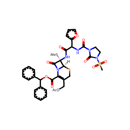 CS[C@@]1(NC(=O)C(NC(=O)N2CCN(S(C)(=O)=O)C2=O)c2ccco2)C(=O)N2C(C(=O)OC(c3ccccc3)c3ccccc3)=C(COC(C)=O)CS[C@@H]21